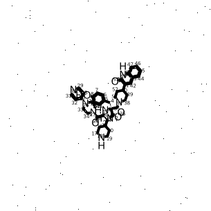 NC(=O)[C@@](Cc1ccc(O)cc1)(N[C@@H](CC1CCNCC1)C(=O)N1CCN(c2ccncc2)CC1)C(=O)N1CCC(c2cc3ccccc3[nH]c2=O)CC1